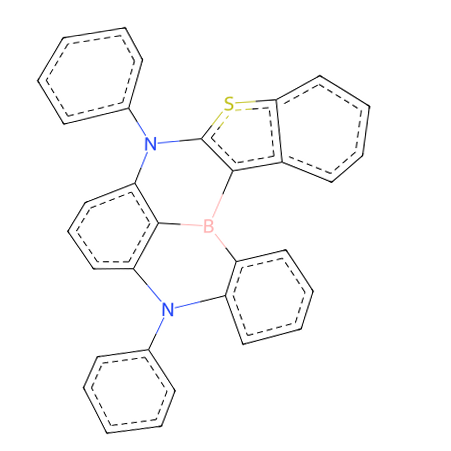 c1ccc(N2c3ccccc3B3c4c2cccc4N(c2ccccc2)c2sc4ccccc4c23)cc1